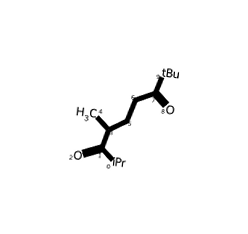 CC(C)C(=O)C(C)CCC(=O)C(C)(C)C